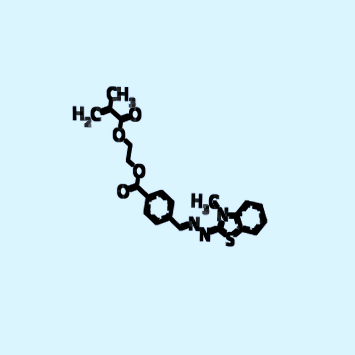 C=C(C)C(=O)OCCOC(=O)c1ccc(/C=N/N=c2/sc3ccccc3n2C)cc1